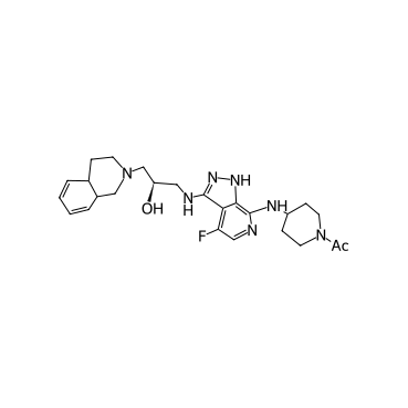 CC(=O)N1CCC(Nc2ncc(F)c3c(NC[C@@H](O)CN4CCC5C=CC=CC5C4)n[nH]c23)CC1